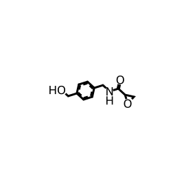 O=C(NCc1ccc(CO)cc1)C1CO1